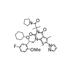 COc1ccc(F)cc1[C@H](Cn1c(=O)n(C(C)(C)C(=O)N2CCCC2)c(=O)c2c(C)c(-n3cccn3)sc21)OC1CCCCC1